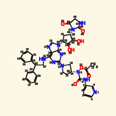 O=C(Nc1cccnc1)N(OC(=O)C(F)(F)F)[C@@H]1CCN(c2nc(NCC(c3ccccc3)c3ccccc3)c3ncn([C@@H]4C[C@H](N5C(=O)CNC5=O)[C@@H](O)[C@H]4O)c3n2)C1